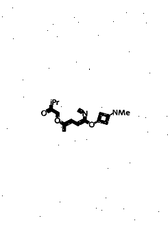 C=N/C(=C\C=C(/C)OCC(=O)C(C)C)O[C@H]1C[C@H](NC)C1